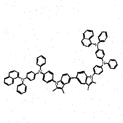 Cc1c(C)n(-c2ccc(N(c3ccccc3)c3ccc(N(c4ccccc4)c4cccc5ccccc45)cc3)cc2)c2ccc(-c3ccc4c(c3)c(C)c(C)n4-c3ccc(N(c4ccccc4)c4ccc(N(c5ccccc5)c5cccc6ccccc56)cc4)cc3)cc12